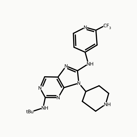 CC(C)(C)Nc1ncc2nc(Nc3ccnc(C(F)(F)F)c3)n(C3CCNCC3)c2n1